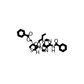 CCCCOC1[C@H]2SC[C@@]1(COC(=O)c1ccccc1)O[C@H]2n1cnc2c(NC(=O)c3ccccc3)ncnc21